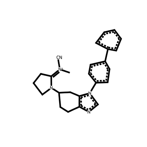 C[N+](C#N)=C1CCCN1C1CCc2ncn(-c3ccc(-c4ccccc4)cc3)c2C1